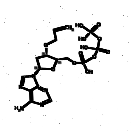 C=CCO[C@H]1C[C@H](n2cnc3c(N)ncnc32)O[C@@H]1COP(=O)(O)OP(=O)(O)OP(=O)(O)O